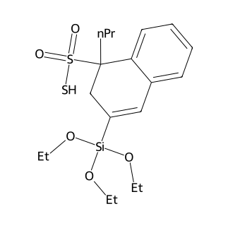 CCCC1(S(=O)(=O)S)CC([Si](OCC)(OCC)OCC)=Cc2ccccc21